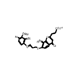 CCCc1c(OCCCOc2ccc3c(=O)cc(CCC(=O)O)oc3c2CCC)ccc(C(C)=O)c1OC